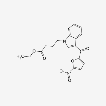 CCOC(=O)CCCn1cc(C(=O)c2ccc([N+](=O)[O-])o2)c2ccccc21